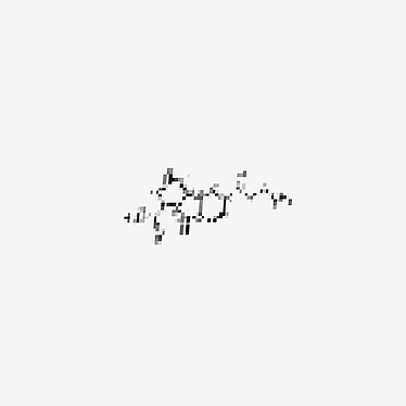 CCCN(F)c1ccc2[nH]c3c(C(N)=O)cncc3c2c1